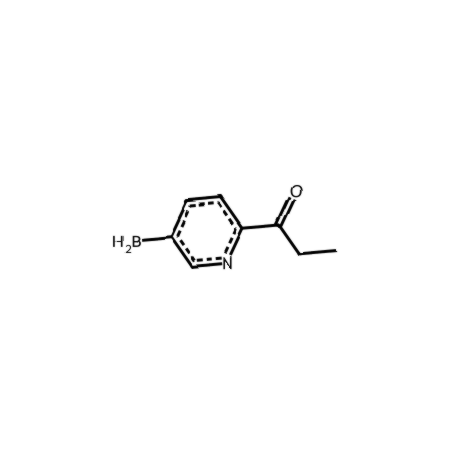 Bc1ccc(C(=O)CC)nc1